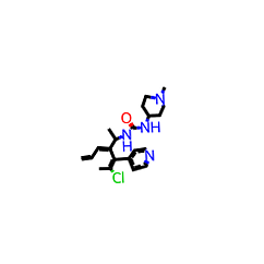 C=C/C=C(\C(=C(/C)Cl)c1ccncc1)C(C)NC(=O)NC1CCN(C)CC1